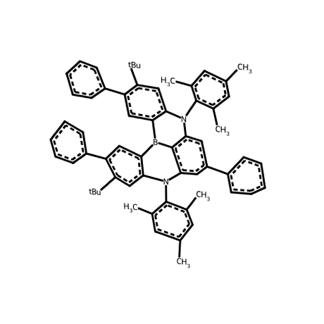 Cc1cc(C)c(N2c3cc(C(C)(C)C)c(-c4ccccc4)cc3B3c4cc(-c5ccccc5)c(C(C)(C)C)cc4N(c4c(C)cc(C)cc4C)c4cc(-c5ccccc5)cc2c43)c(C)c1